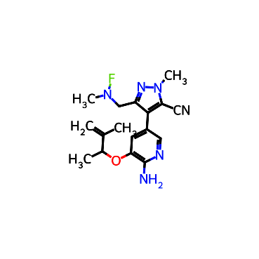 C=C(C)C(C)Oc1cc(-c2c(CN(C)F)nn(C)c2C#N)cnc1N